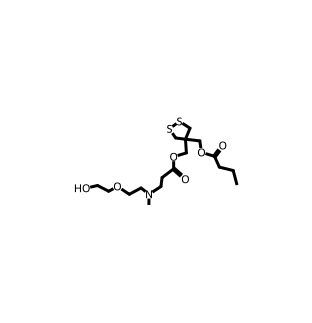 CCCC(=O)OCC1(COC(=O)CCN(C)CCOCCO)CSSC1